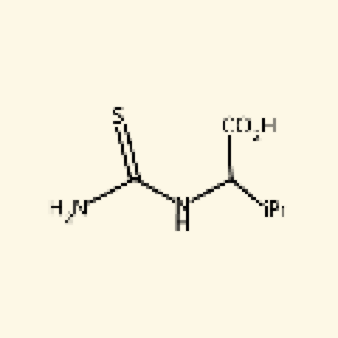 CC(C)C(NC(N)=S)C(=O)O